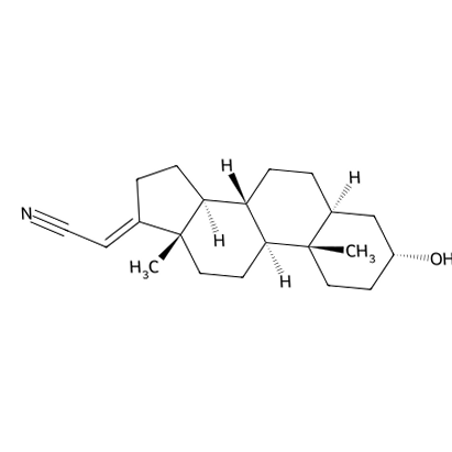 C[C@]12CC[C@@H](O)C[C@@H]1CC[C@@H]1[C@@H]2CC[C@]2(C)C(=CC#N)CC[C@@H]12